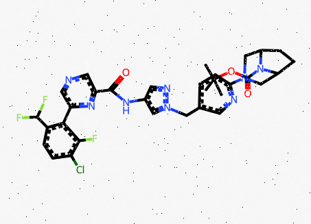 CC(C)(C)OC(=O)N1C2CCC1CN(c1ccc(Cn3cc(NC(=O)c4cncc(-c5c(C(F)F)ccc(Cl)c5F)n4)cn3)cn1)C2